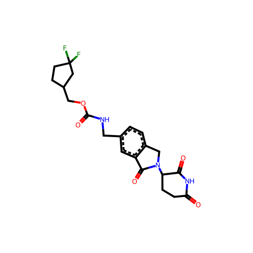 O=C1CCC(N2Cc3ccc(CNC(=O)OCC4CCC(F)(F)C4)cc3C2=O)C(=O)N1